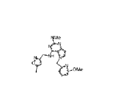 CNc1nc(NCc2cc(C)on2)c2c(ccn2Cc2cccc(OC)n2)n1